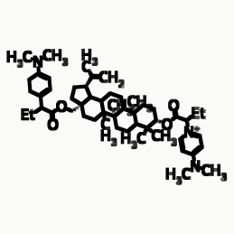 C=C(C)[C@@H]1CC[C@]2(COC(=O)C(CC)C3=CC=C(N(C)C)CC3)CC[C@]3(C)C(CCC4[C@@]5(C)CC[C@H](OC(=O)C(CC)[n+]6ccc(N(C)C)cc6)C(C)(C)C5CC[C@]43C)C12